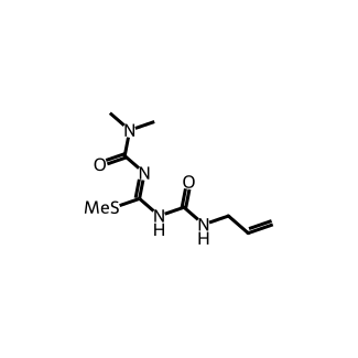 C=CCNC(=O)NC(=NC(=O)N(C)C)SC